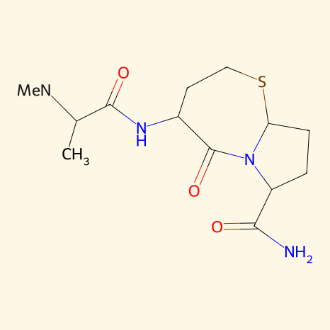 CNC(C)C(=O)NC1CCSC2CCC(C(N)=O)N2C1=O